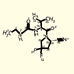 CCNC(=O)N[C@H](C(=O)N1CC(F)(F)C[C@H]1C#N)C(C)C